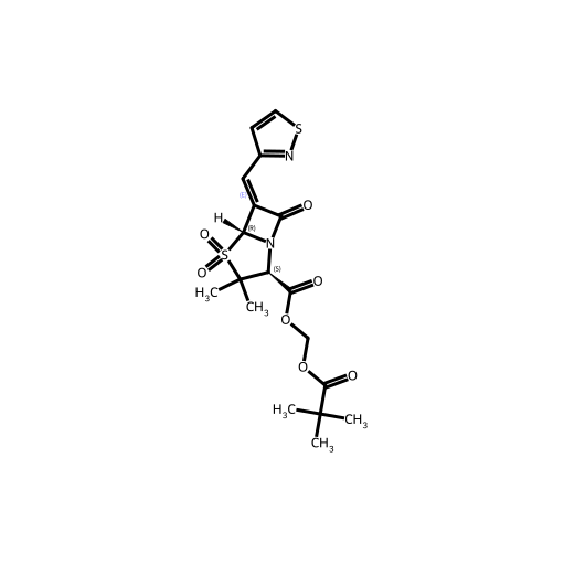 CC(C)(C)C(=O)OCOC(=O)[C@@H]1N2C(=O)/C(=C\c3ccsn3)[C@H]2S(=O)(=O)C1(C)C